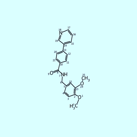 COc1ccc(CNC(=O)c2ccc(-c3cccnc3)cc2)cc1OC